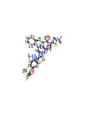 O=C(Nc1nccs1)C(CC1CCCCC1)N1CCN(C(=S)Nc2ccc(OC(F)F)cc2)CC1=O